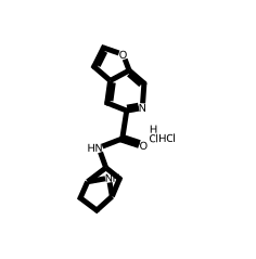 Cl.Cl.O=C(NC1CC2CCC1N2)c1cc2ccoc2cn1